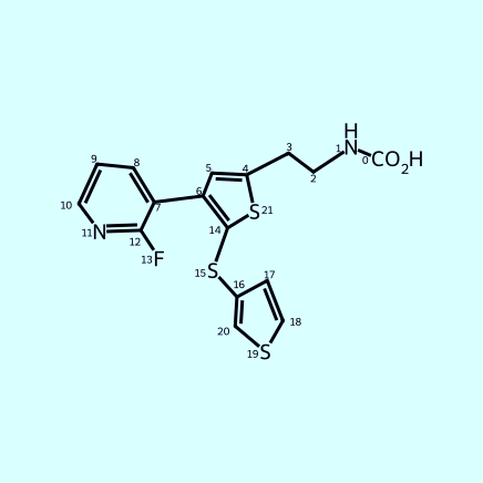 O=C(O)NCCc1cc(-c2cccnc2F)c(Sc2ccsc2)s1